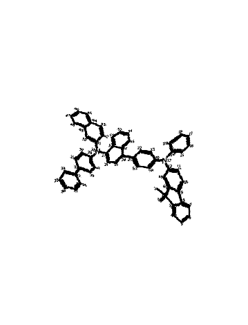 CC1(C)c2ccccc2-c2ccc(N(c3ccccc3)c3ccc(-c4ccc(N(c5ccc(-c6ccccc6)cc5)c5ccc6ccccc6c5)c5ccccc45)cc3)cc21